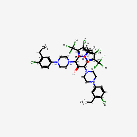 CCc1cc(N2CCN(C(Cn3nc(C(F)(F)F)c(Cl)c3C)C(=O)C(Cn3nc(C(F)(F)F)c(Cl)c3C)N3CCN(c4ccc(Cl)c(CC)c4)CC3)CC2)ccc1Cl